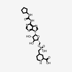 O=C(Nc1ncnc2c1ncn2[C@@H]1O[C@H](COP(=O)(O)CC2CCNC(C(=O)O)C2)C(O)[C@@H]1O)NC1CCCC1